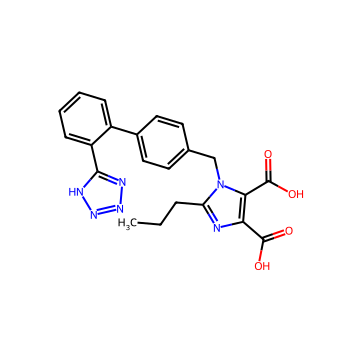 CCCc1nc(C(=O)O)c(C(=O)O)n1Cc1ccc(-c2ccccc2-c2nnn[nH]2)cc1